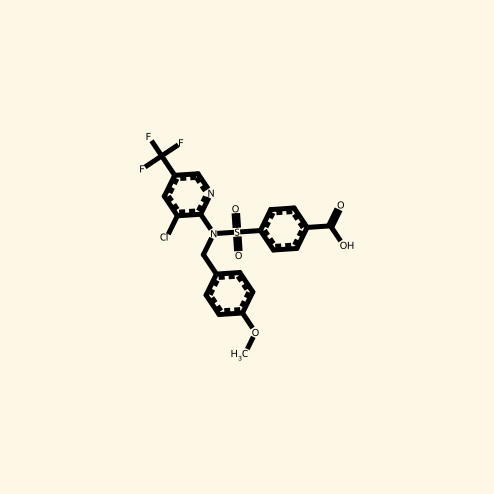 COc1ccc(CN(c2ncc(C(F)(F)F)cc2Cl)S(=O)(=O)c2ccc(C(=O)O)cc2)cc1